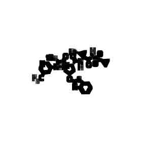 CC[C@@H]1C[C@]1(NC(=O)[C@@H]1C[C@@H](Oc2nc3ccccc3s2)CN1C(=O)[C@@H](Nc1cncc(C(F)(F)F)c1)C(C)(C)C)C(=O)NS(=O)(=O)C1CC1